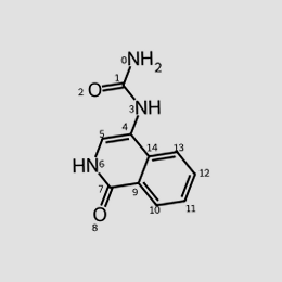 NC(=O)Nc1c[nH]c(=O)c2ccccc12